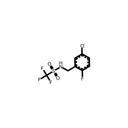 O=S(=O)(NCc1cc(Cl)ccc1F)C(F)(F)F